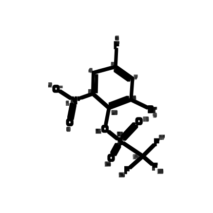 O=[N+]([O-])c1cc(F)cc(Br)c1OS(=O)(=O)C(F)(F)F